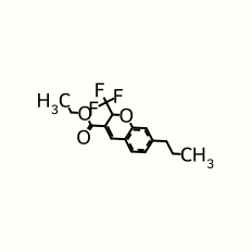 CCCc1ccc2c(c1)OC(C(F)(F)F)C(C(=O)OCC)=C2